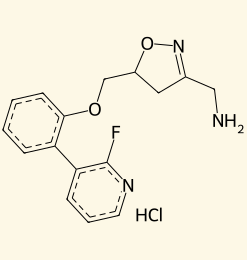 Cl.NCC1=NOC(COc2ccccc2-c2cccnc2F)C1